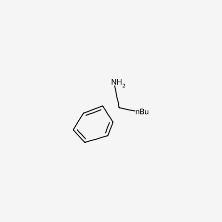 CCCCCN.c1ccccc1